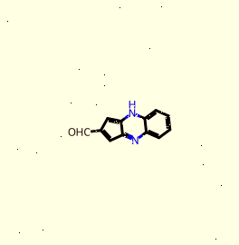 O=Cc1cc2nc3ccccc3[nH]c-2c1